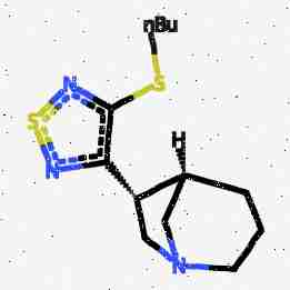 CCCCSc1nsnc1[C@H]1CN2CCC[C@H]1C2